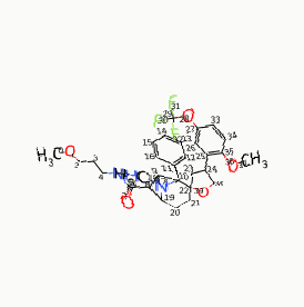 COCCCNC(=O)C1CC2(c3ccccc3)N(C)C1CCC21CC(c2cc(OC(F)(F)F)ccc2OC)CO1